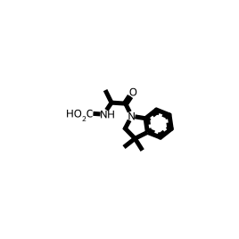 CC(NC(=O)O)C(=O)N1CC(C)(C)c2ccccc21